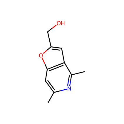 Cc1cc2oc(CO)cc2c(C)n1